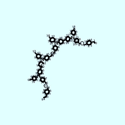 C=Cc1ccc(COCc2ccc(N(c3ccc(C)cc3)c3ccc(-c4ccc(N(c5ccc(C)cc5)c5ccc(COCc6ccc(N(c7ccc(C)cc7)c7ccc(-c8ccc(N(c9ccc(C)cc9)c9ccc(COCc%10ccc(C=C)cc%10)cc9)cc8)cc7)cc6)cc5)cc4)cc3)cc2)cc1